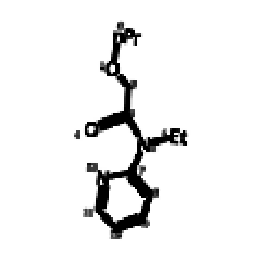 CCCOCC(=O)N(CC)c1ccccn1